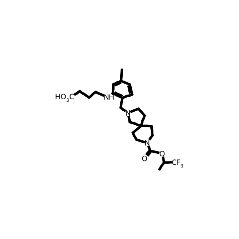 Cc1ccc(CN2CCC3(CCN(C(=O)OC(C)C(F)(F)F)CC3)C2)c(NCCCC(=O)O)c1